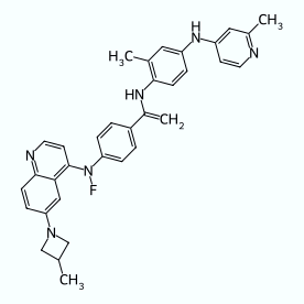 C=C(Nc1ccc(Nc2ccnc(C)c2)cc1C)c1ccc(N(F)c2ccnc3ccc(N4CC(C)C4)cc23)cc1